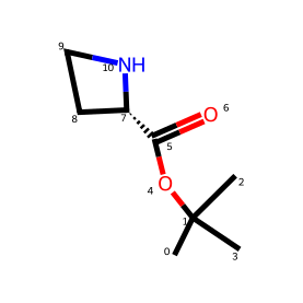 CC(C)(C)OC(=O)[C@@H]1CCN1